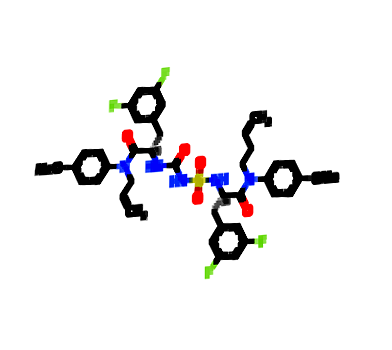 C=CCCN(C(=O)[C@H](Cc1cc(F)cc(F)c1)NS(=O)(=O)NC(=O)N[C@@H](Cc1cc(F)cc(F)c1)C(=O)N(CC=C)c1ccc(OC)cc1)c1ccc(OC)cc1